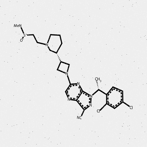 CN[S+]([O-])CCN1CCC[C@H](C2CN(c3cnc4c(C#N)nn([C@H](C)c5ccc(Cl)cc5Cl)c4n3)C2)C1